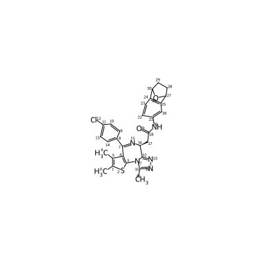 Cc1sc2c(c1C)C(c1ccc(Cl)cc1)=N[C@@H](CC(=O)Nc1ccc3c(c1)C1CCC3O1)c1nnc(C)n1-2